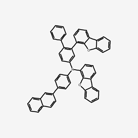 c1ccc(-c2ccc(N(c3ccc(-c4ccc5ccccc5c4)cc3)c3cccc4c3oc3ccccc34)cc2-c2cccc3c2oc2ccccc23)cc1